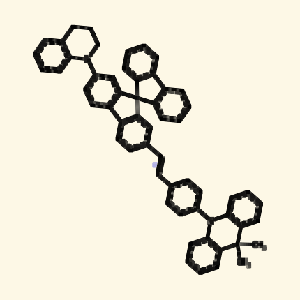 CC1(C)c2ccccc2N(c2ccc(/C=C/c3ccc4c(c3)C3(c5ccccc5-c5ccccc53)c3cc(N5CCCc6ccccc65)ccc3-4)cc2)c2ccccc21